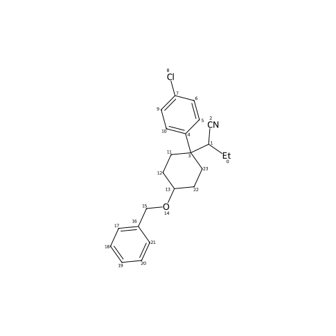 CCC(C#N)C1(c2ccc(Cl)cc2)CCC(OCc2ccccc2)CC1